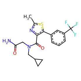 Cc1nc(C(=O)N(CC(N)=O)CC2CC2)c(-c2cccc(C(F)(F)F)c2)s1